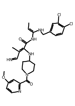 C/C=C(\NCc1ccc(Cl)c(Cl)c1)NC(=O)/C(NC1CCN(C(=O)c2cc(OC)ccn2)CC1)=C(\C)C=N